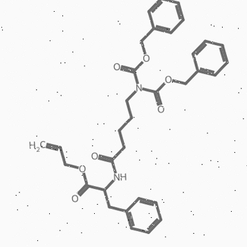 C=CCOC(=O)C(Cc1ccccc1)NC(=O)CCCCN(C(=O)OCc1ccccc1)C(=O)OCc1ccccc1